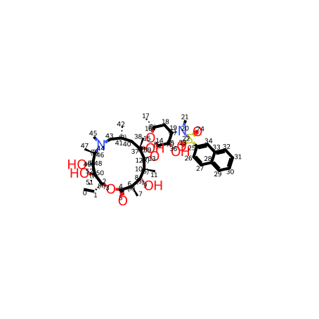 CC[C@H]1OC(=O)[C@H](C)[C@@H](O)[C@H](C)[C@@H](O[C@@H]2O[C@H](C)C[C@H](N(C)S(=O)(=O)c3ccc4ccccc4c3)[C@H]2O)[C@@](C)(O)C[C@@H](C)CN(C)[C@H](C)[C@@H](O)[C@]1(C)O